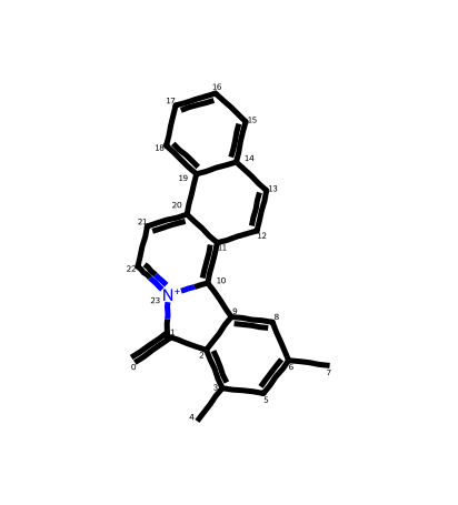 C=C1c2c(C)cc(C)cc2-c2c3ccc4ccccc4c3cc[n+]21